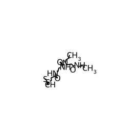 C#S(=S)CCC(=O)NCCNC(=O)N(CCC)CCC(=O)NCCC